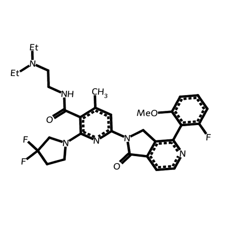 CCN(CC)CCNC(=O)c1c(C)cc(N2Cc3c(ccnc3-c3c(F)cccc3OC)C2=O)nc1N1CCC(F)(F)C1